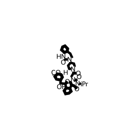 CC(=O)O.CC(C)n1c(=O)c(-c2ccccc2C(=O)C(O)c2ccccc2)cn(CC(=O)N2CCC(N3CCc4ccccc4NC3=O)CC2)c1=O